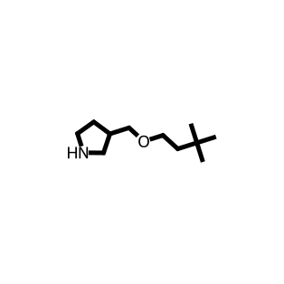 CC(C)(C)CCOCC1CCNC1